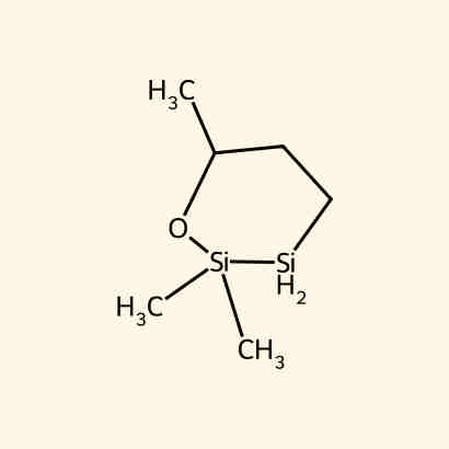 CC1CC[SiH2][Si](C)(C)O1